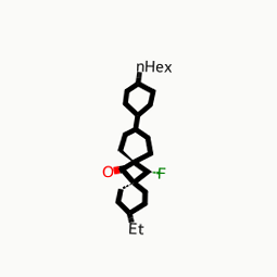 CCCCCCC1CCC(C2CC[C@]3(CC2)C(=O)[C@@]2(CCC(CC)CC2)[C@H]3F)CC1